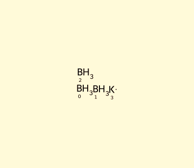 B.B.B.[K]